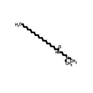 CCCCCCCCCCCCCCCCCCCC(=O)NCCCN(CC)CC